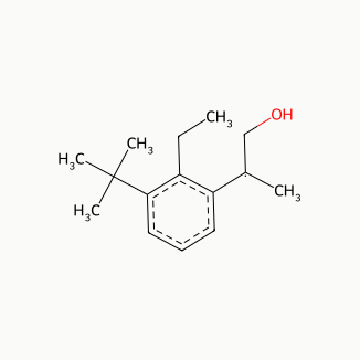 CCc1c([C](C)CO)cccc1C(C)(C)C